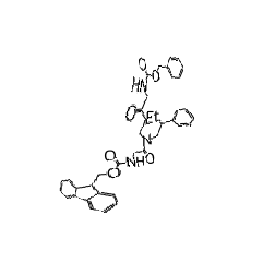 CCC(CN(CCC(=O)CNC(=O)OCc1ccccc1)C(=O)CNC(=O)OCC1c2ccccc2-c2ccccc21)c1ccccc1